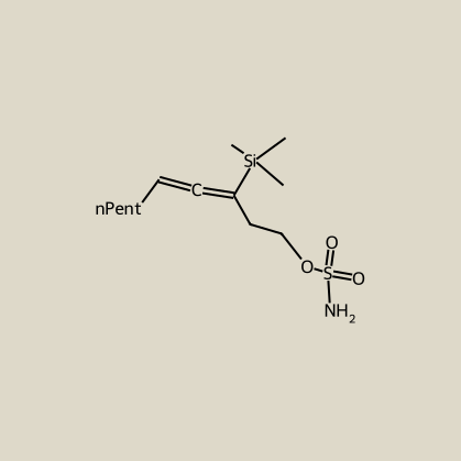 CCCCCC=C=C(CCOS(N)(=O)=O)[Si](C)(C)C